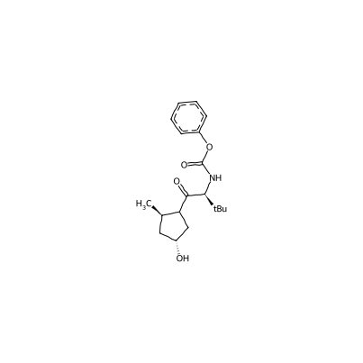 C[C@@H]1C[C@@H](O)CC1C(=O)[C@@H](NC(=O)Oc1ccccc1)C(C)(C)C